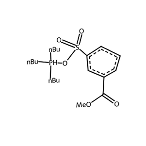 CCCC[PH](CCCC)(CCCC)OS(=O)(=O)c1cccc(C(=O)OC)c1